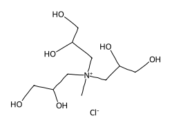 C[N+](CC(O)CO)(CC(O)CO)CC(O)CO.[Cl-]